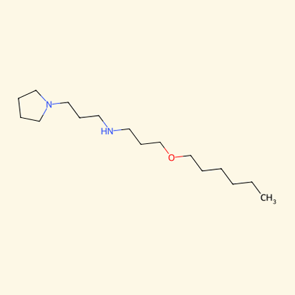 CCCCCCOCCCNCCCN1CCCC1